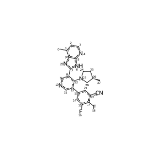 Cc1ccnc2[nH]c(-c3cncc(-c4cc(F)c(F)c(C#N)c4)c3N3CC[C@@H](C)C3)nc12